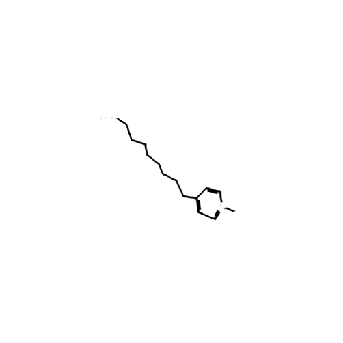 CCCCCCCCCCCCCCCCCc1cc[n+](CC)cc1